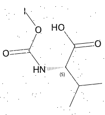 CC(C)[C@H](NC(=O)OI)C(=O)O